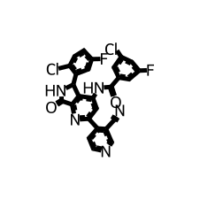 N#Cc1cnccc1-c1cc(NC(=O)c2cc(F)cc(Cl)c2)c2c(n1)C(=O)NC2c1cc(F)ccc1Cl